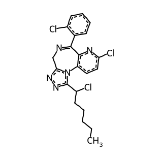 CCCCCC(Cl)c1nnc2n1-c1ccc(Cl)nc1C(c1ccccc1Cl)=NC2